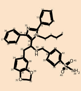 CCCCn1c(-c2ccccc2)nc(-c2ccccc2)c1C(Cc1ccc2c(c1)OCO2)NCc1ccc(S(N)(=O)=O)cc1